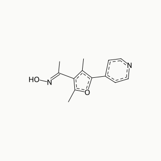 CC(=NO)c1c(C)oc(-c2ccncc2)c1C